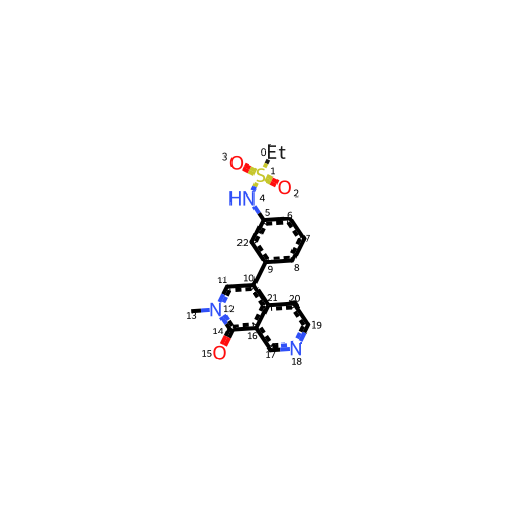 CCS(=O)(=O)Nc1cccc(-c2cn(C)c(=O)c3cnccc23)c1